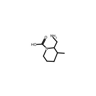 CC1CCCN(C(=O)O)C1CN